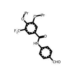 CC(C)Oc1cc(C(=O)Nc2ccc(C=O)cc2)cc(C(F)(F)F)c1OC(C)C